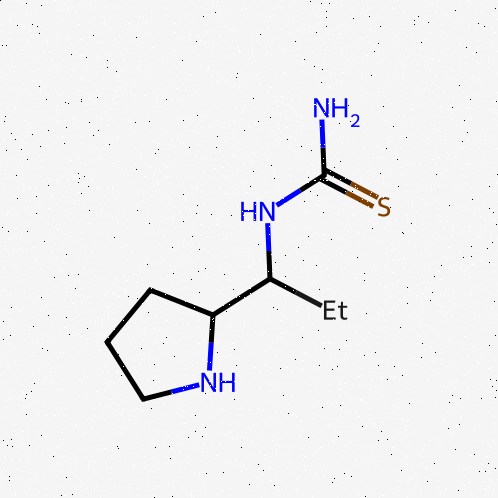 CCC(NC(N)=S)C1CCCN1